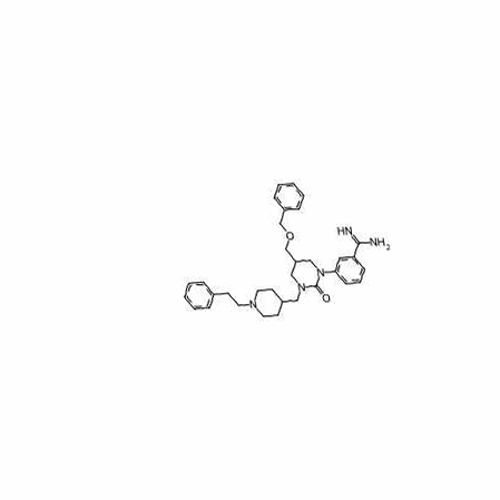 N=C(N)c1cccc(N2CC(COCc3ccccc3)CN(CC3CCN(CCc4ccccc4)CC3)C2=O)c1